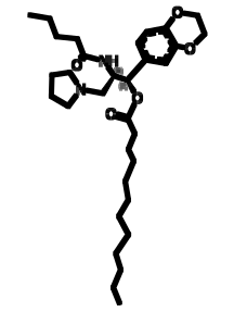 CCCCCCCCCCCC(=O)O[C@H](c1ccc2c(c1)OCCO2)[C@@H](CN1CCCC1)NC(=O)CCCC